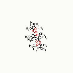 CCC1OC(OC(=O)c2cc(C)c(C)c(Oc3c(C(=O)O[C@@H]4OC(CC)[C@@H](C)C(C)[C@H]4C)cc(C)c(C)c3C)c2)[C@@H](C)[C@@H](C)C1C